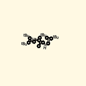 CC(C)(C)c1ccc2c(c1)c1cc(C(C)(C)C)ccc1n2-c1cccc(Nc2ccc3c4c5ccccc5c(Nc5cccc(-n6c7ccc(C(C)(C)C)cc7c7cc(C(C)(C)C)ccc76)c5)cc4n(-c4ccccc4)c3c2)c1